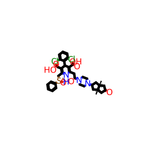 C[C@@]12CC(=O)C[C@]1(C)CC(N1CCN(C(=O)CC3=C(C(=O)O)C(c4c(Cl)cccc4Cl)C(C(=O)O)=C(C[S+]([O-])c4ccccc4)N3)CC1)C2